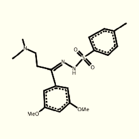 COc1cc(OC)cc(/C(CCN(C)C)=N\NS(=O)(=O)c2ccc(C)cc2)c1